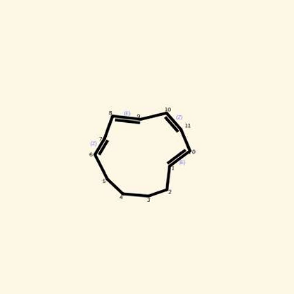 [C]1=C\CCCC\C=C/C=C/C=C\1